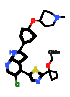 COCOC1(c2ncc(-c3c(Cl)cnc4[nH]c(-c5ccc(OC6CCN(C)CC6)cc5)cc34)s2)CCC1